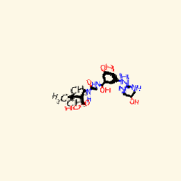 CC(C)(C)C(CNC(=O)CNC(O)c1cc(O)cc(NC2=NCC(O)CN2)c1)C(=O)O